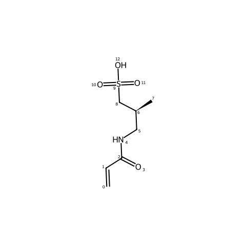 C=CC(=O)NC[C@H](C)CS(=O)(=O)O